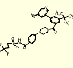 CC(C)(C)c1cc(C(=O)N2CCN(c3ccc(C(=O)NS(=O)(=O)CCC(F)(F)F)cc3)CC2)cc(-c2cncc(O)c2)c1